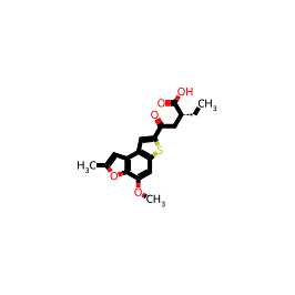 CC[C@H](CC(=O)c1cc2c(cc(OC)c3oc(C)cc32)s1)C(=O)O